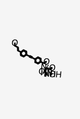 CNC(=O)[C@@](C)(C(=O)NO)N(C)C(=O)c1ccc(C#Cc2ccc(C=CCOC)cc2)cc1